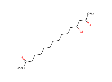 COC(=O)CCCCCCCCCCC(O)CC(=O)OC